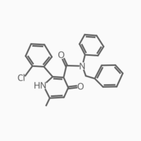 Cc1cc(=O)c(C(=O)N(Cc2ccccc2)c2ccccc2)c(-c2ccccc2Cl)[nH]1